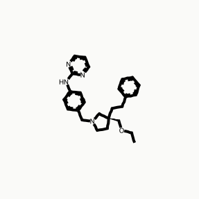 CCOC[C@@]1(CCc2ccccc2)CCN(Cc2ccc(Nc3ncccn3)cc2)C1